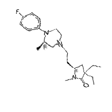 CCC1(CC)C[C@H](CCN2CCN(c3ccc(F)cc3)[C@H](C)C2)N(C)C1=O